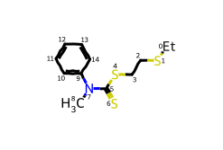 CCSCCSC(=S)N(C)c1ccccc1